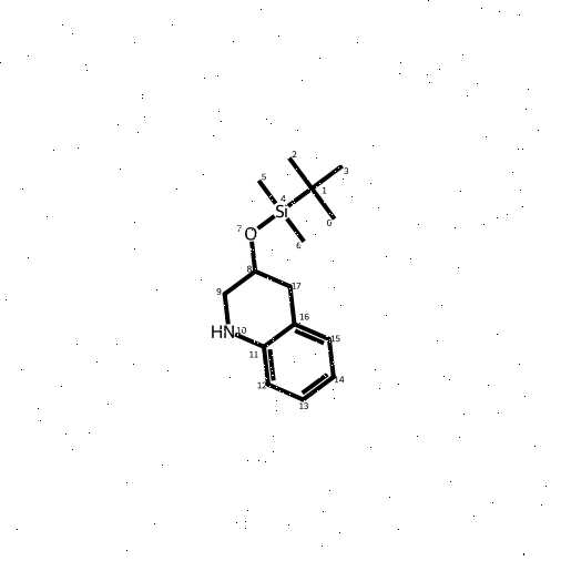 CC(C)(C)[Si](C)(C)OC1CNc2ccccc2C1